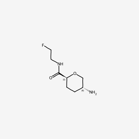 N[C@@H]1CC[C@@H](C(=O)NCCF)OC1